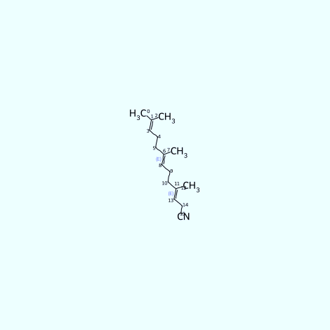 CC(C)=CCC/C(C)=C/CC/C(C)=C/CC#N